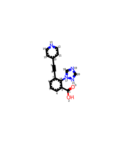 O=C(O)c1cccc(C#Cc2ccncc2)c1-n1cncn1